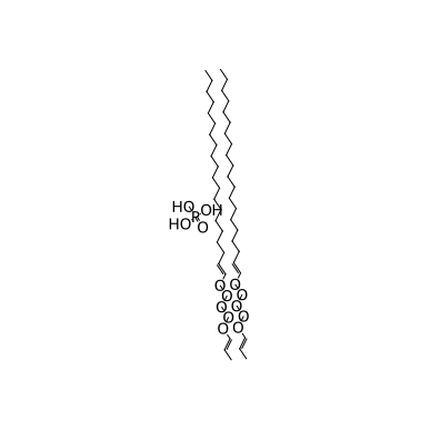 CC=COOOOOC=CCCCCCCCCCCCCCCCCCC.CC=COOOOOC=CCCCCCCCCCCCCCCCCCC.O=P(O)(O)O